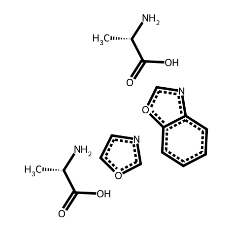 C[C@H](N)C(=O)O.C[C@H](N)C(=O)O.c1ccc2ocnc2c1.c1cocn1